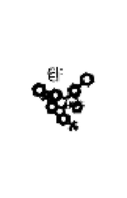 CC(C)(C)c1ccc2c(c1)[CH]([Zr+2]([C]1=CC=CC1)=[C](c1ccc(C3CCCCC3)cc1)c1ccc(C3CCCCC3)cc1)c1cc(C(C)(C)C)ccc1-2.[Cl-].[Cl-]